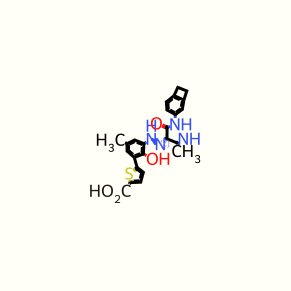 CC(=N)/C(=N/Nc1cc(C)cc(-c2ccc(C(=O)O)s2)c1O)C(=O)Nc1ccc2c(c1)CC2